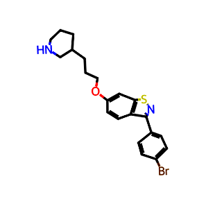 Brc1ccc(-c2nsc3cc(OCCCC4CCCNC4)ccc23)cc1